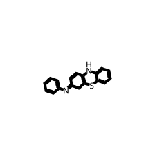 C1=CC2=C(CC1=Nc1ccccc1)Sc1ccccc1N2